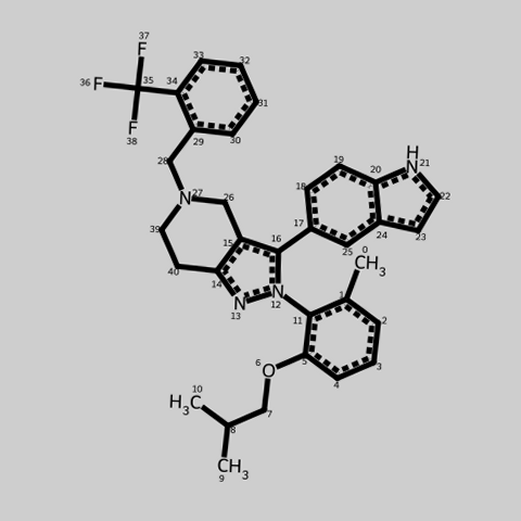 Cc1cccc(OCC(C)C)c1-n1nc2c(c1-c1ccc3[nH]ccc3c1)CN(Cc1ccccc1C(F)(F)F)CC2